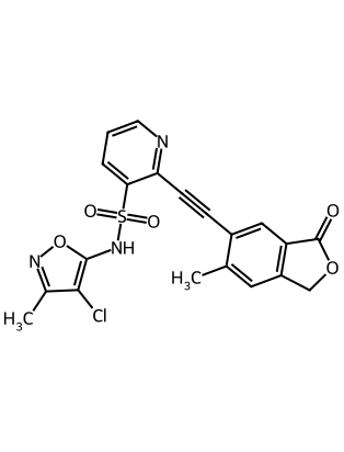 Cc1cc2c(cc1C#Cc1ncccc1S(=O)(=O)Nc1onc(C)c1Cl)C(=O)OC2